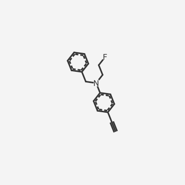 C#Cc1ccc(N(CCF)Cc2ccccc2)cc1